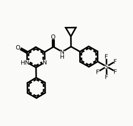 O=C(NC(c1ccc(S(F)(F)(F)(F)F)cc1)C1CC1)c1cc(=O)[nH]c(-c2ccccc2)n1